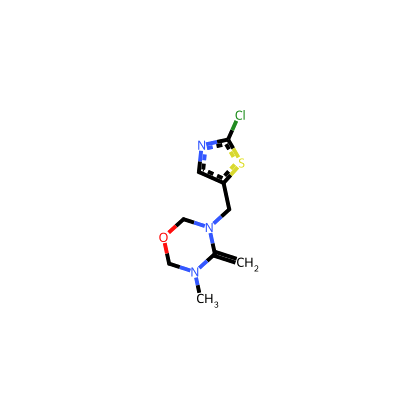 C=C1N(C)COCN1Cc1cnc(Cl)s1